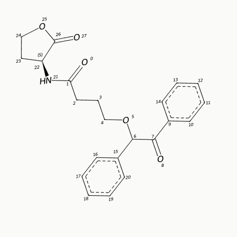 O=C(CCCOC(C(=O)c1ccccc1)c1ccccc1)N[C@H]1CCOC1=O